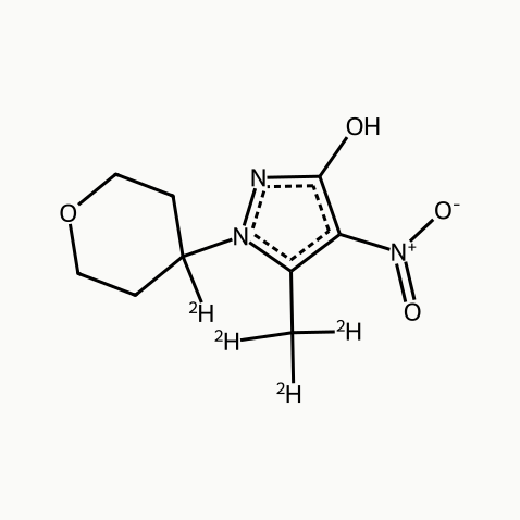 [2H]C([2H])([2H])c1c([N+](=O)[O-])c(O)nn1C1([2H])CCOCC1